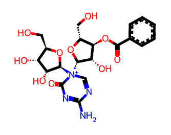 NC1=NC(=O)[N+]([C@@H]2O[C@H](CO)[C@@H](O)[C@H]2O)([C@@H]2O[C@H](CO)[C@@H](OC(=O)c3ccccc3)[C@@H]2O)C=N1